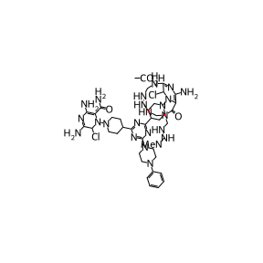 CC(=O)O.[CH2]NNNCN1CNNNCNC2=NC(N)=C(C1=O)N(N1CCC(c3nc(C4CCN(N5C(C(N)=O)=C(N)N=C(N)C5Cl)CC4)nc(N4CCN(c5ccccc5)CC4)n3)CC1)C2Cl